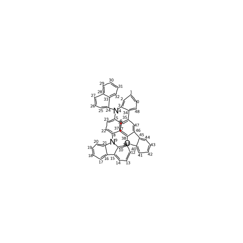 c1ccc(N(c2ccc(-n3c4ccccc4c4ccccc43)cc2)c2cccc3ccccc23)c(-c2ccc3oc4ccccc4c3c2)c1